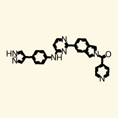 O=C(c1ccncc1)n1cc2ccc(-c3nccc(Nc4ccc(-c5cn[nH]c5)cc4)n3)cc2c1